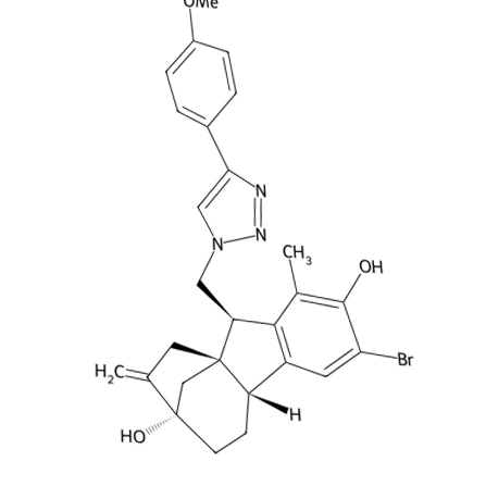 C=C1C[C@]23C[C@@]1(O)CC[C@H]2c1cc(Br)c(O)c(C)c1[C@@H]3Cn1cc(-c2ccc(OC)cc2)nn1